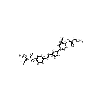 C=CC(=O)Oc1ccc(-c2ccc(/C=C/c3ccc(OC(=O)C(=C)C)cc3)o2)cc1C(F)(F)F